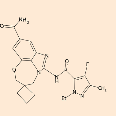 CCn1nc(C)c(F)c1C(=O)Nc1nc2cc(C(N)=O)cc3c2n1CC1(CCC1)CO3